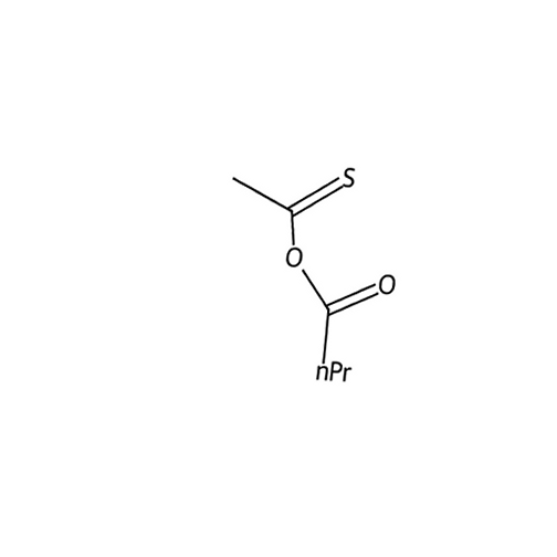 CCCC(=O)OC(C)=S